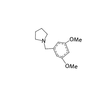 COc1cc(CN2CCCC2)cc(OC)c1